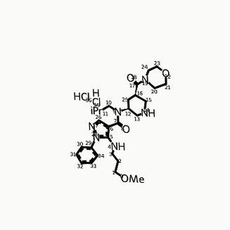 COCCCNc1c(C(=O)N(CC(C)C)[C@@H]2CNC[C@H](C(=O)N3CCOCC3)C2)cnn1-c1ccccc1.Cl.Cl